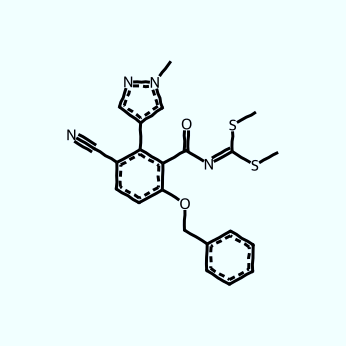 CSC(=NC(=O)c1c(OCc2ccccc2)ccc(C#N)c1-c1cnn(C)c1)SC